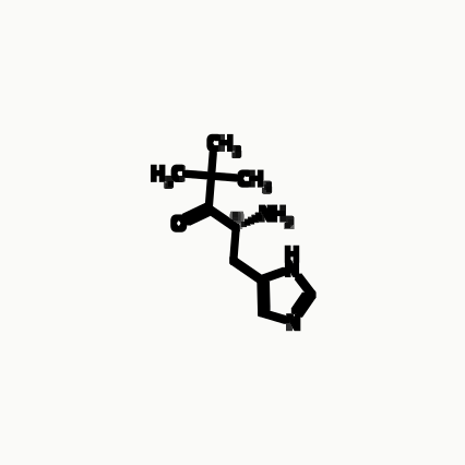 CC(C)(C)C(=O)[C@H](N)Cc1cnc[nH]1